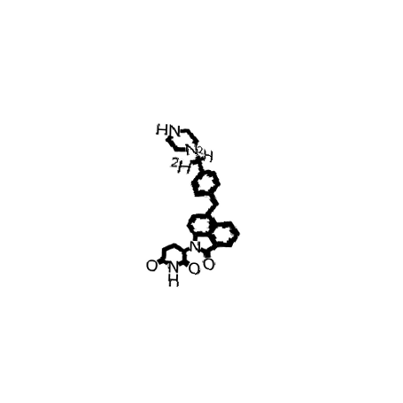 [2H]C([2H])(c1ccc(Cc2ccc3c4c(cccc24)C(=O)N3C2CCC(=O)NC2=O)cc1)N1CCNCC1